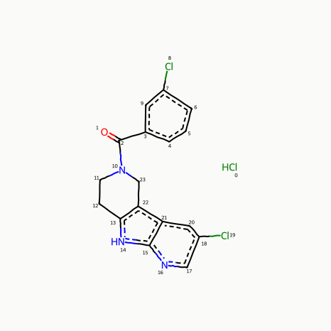 Cl.O=C(c1cccc(Cl)c1)N1CCc2[nH]c3ncc(Cl)cc3c2C1